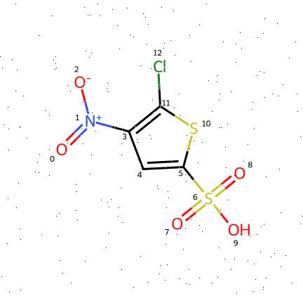 O=[N+]([O-])c1cc(S(=O)(=O)O)sc1Cl